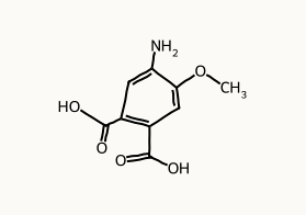 COc1cc(C(=O)O)c(C(=O)O)cc1N